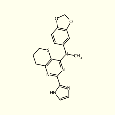 CN(c1ccc2c(c1)OCO2)c1nc(-c2ncc[nH]2)nc2c1SCCC2